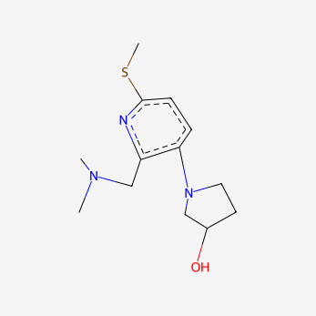 CSc1ccc(N2CCC(O)C2)c(CN(C)C)n1